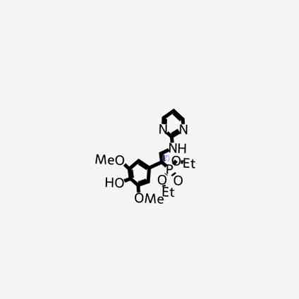 CCOP(=O)(OCC)/C(=C\Nc1ncccn1)c1cc(OC)c(O)c(OC)c1